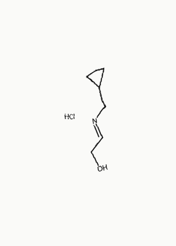 Cl.OCC=NCC1CC1